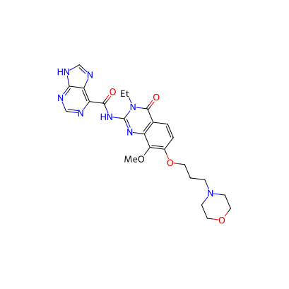 CCn1c(NC(=O)c2ncnc3[nH]cnc23)nc2c(OC)c(OCCCN3CCOCC3)ccc2c1=O